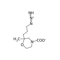 CC1(CCCN=[N+]=N)CN(C(=O)[O-])CCO1